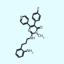 Cn1c(NCCCc2ccccc2N)nc(-c2ccncc2)c(-c2ccc(F)cc2)c1=O